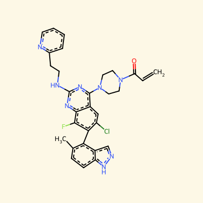 C=CC(=O)N1CCN(c2nc(NCCc3ccccn3)nc3c(F)c(-c4c(C)ccc5[nH]ncc45)c(Cl)cc23)CC1